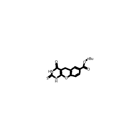 CCCCOC(=O)c1ccc2c(c1)Cc1c([nH]c(=S)[nH]c1=O)O2